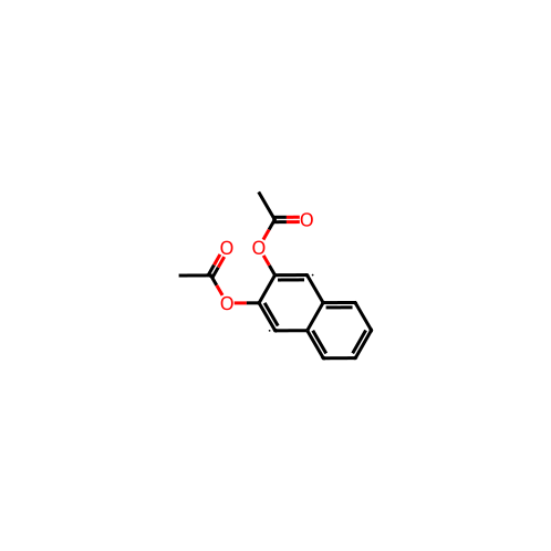 CC(=O)Oc1[c]c2ccccc2[c]c1OC(C)=O